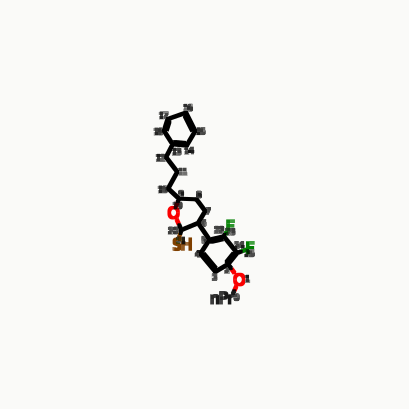 CCCOc1ccc(C2CCC(CCCc3ccccc3)OC2S)c(F)c1F